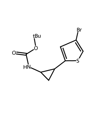 CC(C)(C)OC(=O)NC1CC1c1cc(Br)cs1